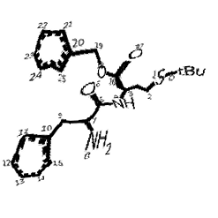 CC(C)(C)SCC(NC(=O)C(N)Cc1ccccc1)C(=O)OCc1ccccc1